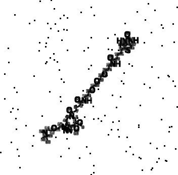 CO[C@H]1CN(C(=O)CCCC(=O)NCCCOCCOCCOCCCNC(=O)CCCCC2SC[C@]3(C)NC(=O)N[C@H]23)CCc2c(nnn2CCOCCN(C)C(C)(C)C)[C@@H]1OC